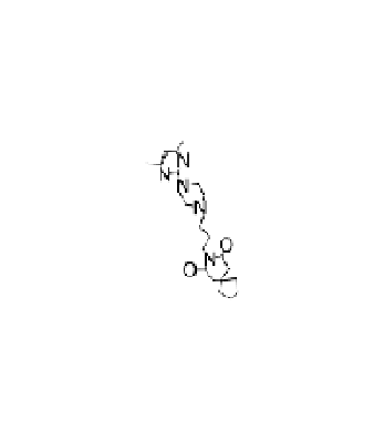 Cc1cc(C)nc(N2CCN(CCCCN3C(=O)CC4(CCCC4)CC3=O)CC2)n1